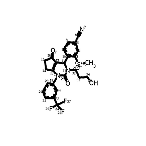 C[S+]([O-])c1cc(C#N)ccc1C1C2=C(CCC2=O)N(c2cccc(C(F)(F)F)c2)C(=O)N1CCCO